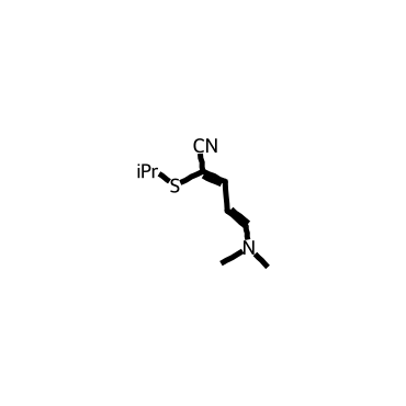 CC(C)S/C(C#N)=C\C=C\N(C)C